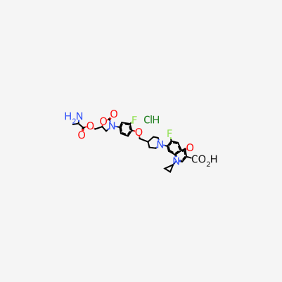 CC(N)C(=O)OCC1CN(c2ccc(OCC3CCN(c4cc5c(cc4F)c(=O)c(C(=O)O)cn5C4CC4)CC3)c(F)c2)C(=O)O1.Cl